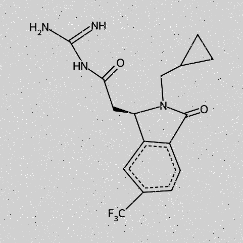 N=C(N)NC(=O)C[C@@H]1c2cc(C(F)(F)F)ccc2C(=O)N1CC1CC1